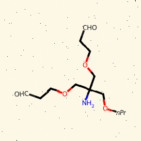 CCCOCC(N)(COCCC=O)COCCC=O